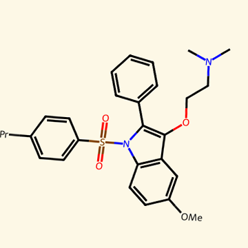 COc1ccc2c(c1)c(OCCN(C)C)c(-c1ccccc1)n2S(=O)(=O)c1ccc(C(C)C)cc1